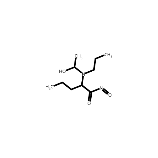 CCCC(C(=O)N=O)N(CCC)C(C)O